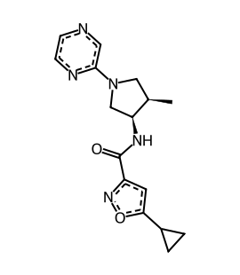 C[C@@H]1CN(c2cnccn2)C[C@@H]1NC(=O)c1cc(C2CC2)on1